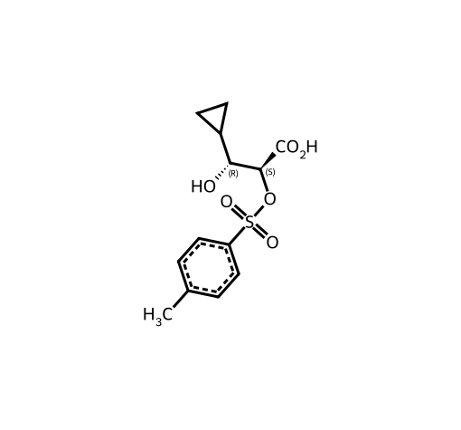 Cc1ccc(S(=O)(=O)O[C@H](C(=O)O)[C@H](O)C2CC2)cc1